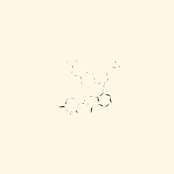 O=C1CCC(N2Cc3c(cccc3N(CCC3CC3)C3CCC(NC4COC4)CC3)C2=O)C(=O)N1